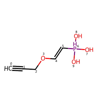 C#CCOC=C[PH](O)(O)O